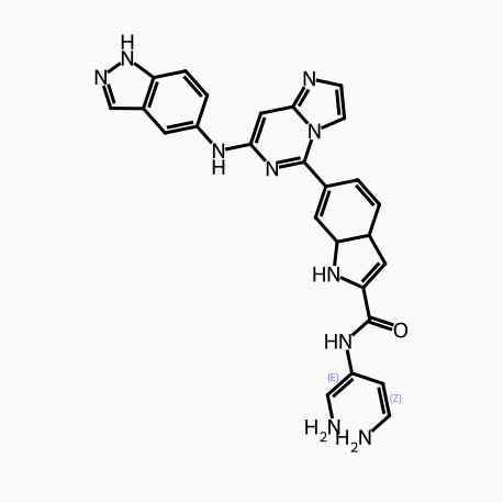 N/C=C\C(=C/N)NC(=O)C1=CC2C=CC(c3nc(Nc4ccc5[nH]ncc5c4)cc4nccn34)=CC2N1